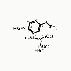 Br.Br.CCCCCCCCP(CCCCCCCC)CCCCCCCC.N.PCc1ccccc1